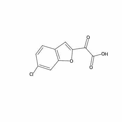 O=C(O)C(=O)c1cc2ccc(Cl)cc2o1